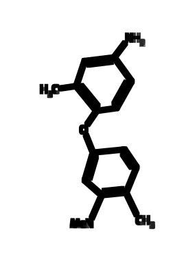 CNc1cc(Oc2ccc(N)cc2C)ccc1C